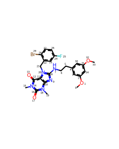 COc1cc(CCNc2nc3c(c(=O)n(C)c(=O)n3C)n2Cc2cc(F)ccc2Br)cc(OC)c1